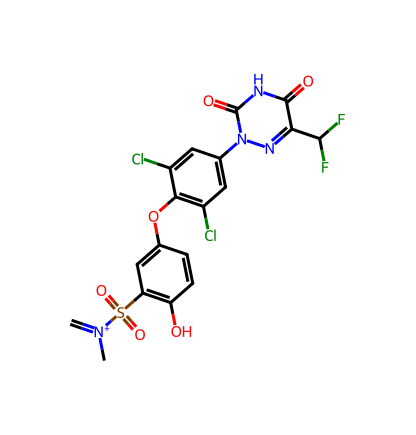 C=[N+](C)S(=O)(=O)c1cc(Oc2c(Cl)cc(-n3nc(C(F)F)c(=O)[nH]c3=O)cc2Cl)ccc1O